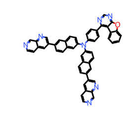 c1ccc2c(c1)oc1ncnc(-c3ccc(N(c4ccc5cc(-c6cnc7cnccc7c6)ccc5c4)c4ccc5cc(-c6cnc7cnccc7c6)ccc5c4)cc3)c12